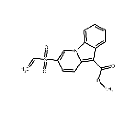 C=CS(=O)(=O)c1ccc2c(C(=O)OC)c3ccccc3n2c1